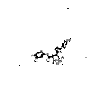 CN1C(C(=O)Nc2ccc(F)c(Cl)c2)CC(c2ccc(-c3c[nH]cn3)s2)NS1(=O)=O